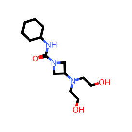 O=C(NC1CCCCC1)N1CC(N(CCO)CCO)C1